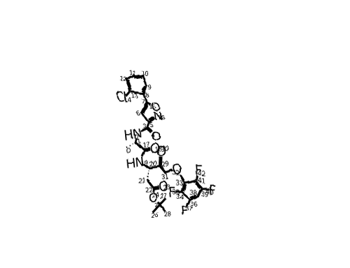 C[C@H](NC(=O)c1cc(-c2ccccc2Cl)on1)C(=O)N[C@@H](CC(=O)OC(C)(C)C)C(=O)COc1c(F)c(F)cc(F)c1F